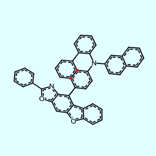 c1ccc(-c2nc3c(-c4ccc(N(c5ccc6ccccc6c5)c5ccccc5-c5ccccc5)cc4)c4c(cc3o2)oc2ccccc24)cc1